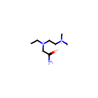 CCN(CCN(C)C)CC(N)=O